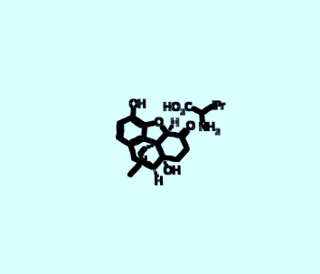 CC(C)C(N)C(=O)O.CN1CC[C@]23c4c5ccc(O)c4O[C@H]2C(=O)CC[C@@]3(O)[C@H]1C5